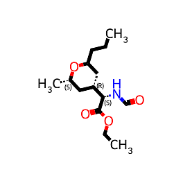 CCCC1C[C@H]([C@H](NC=O)C(=O)OCC)C[C@H](C)O1